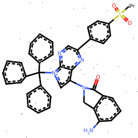 CC(C)S(=O)(=O)c1ccc(-c2cnc3c(n2)c(N2Cc4c(N)cccc4C2=O)cn3C(c2ccccc2)(c2ccccc2)c2ccccc2)cc1